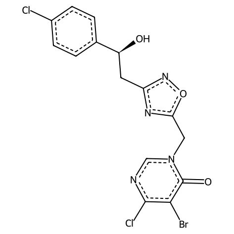 O=c1c(Br)c(Cl)ncn1Cc1nc(C[C@H](O)c2ccc(Cl)cc2)no1